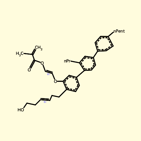 C=C(C)C(=O)O/C=C/Oc1cc(-c2ccc(-c3ccc(CCCCC)cc3)cc2CCC)ccc1CC/C=C/CCO